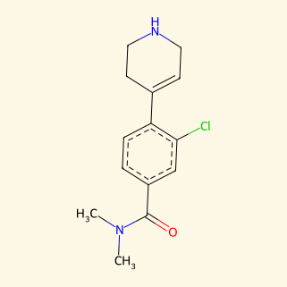 CN(C)C(=O)c1ccc(C2=CCNCC2)c(Cl)c1